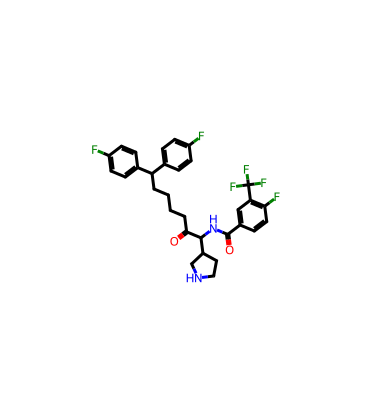 O=C(NC(C(=O)CCCCC(c1ccc(F)cc1)c1ccc(F)cc1)C1CCNC1)c1ccc(F)c(C(F)(F)F)c1